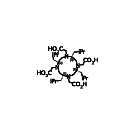 CC(C)C[C@@H]1CN(CC(=O)O)[C@H](CC(C)C)CN(CC(=O)O)[C@H](CC(C)C)CN(CC(=O)O)[C@H](CC(C)C)CN1CC(=O)O